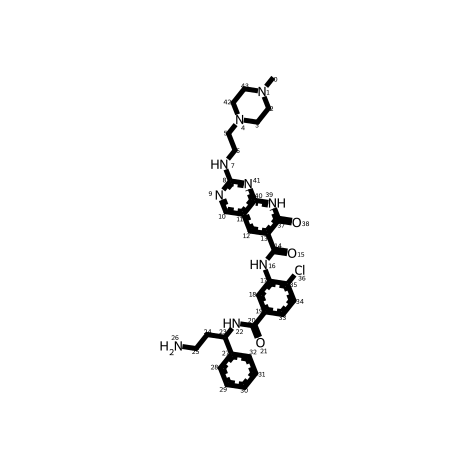 CN1CCN(CCNc2ncc3cc(C(=O)Nc4cc(C(=O)NC(CCN)c5ccccc5)ccc4Cl)c(=O)[nH]c3n2)CC1